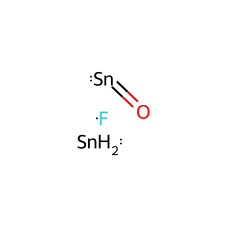 [F].[O]=[Sn].[SnH2]